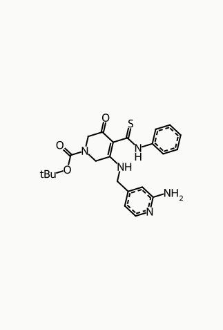 CC(C)(C)OC(=O)N1CC(=O)C(C(=S)Nc2ccccc2)=C(NCc2ccnc(N)c2)C1